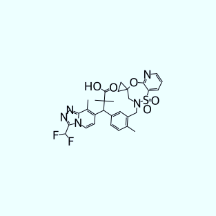 Cc1ccc(C(c2ccn3c(C(F)F)nnc3c2C)C(C)(C)C(=O)O)cc1CN1CC2(CC2)Oc2ncccc2S1(=O)=O